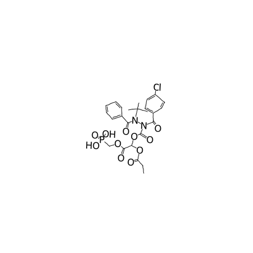 CCC(=O)OC(OC(=O)N(C(=O)c1ccc(Cl)cc1)N(C(=O)c1ccccc1)C(C)(C)C)C(=O)OCP(=O)(O)O